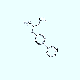 CCC(C)Sc1ccc(-c2cccnc2)cc1